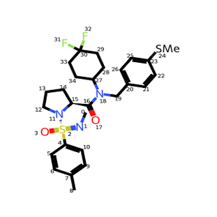 CN=[S@](=O)(c1ccc(C)cc1)N1CCC[C@H]1C(=O)N(Cc1ccc(SC)cc1)C1CCC(F)(F)CC1